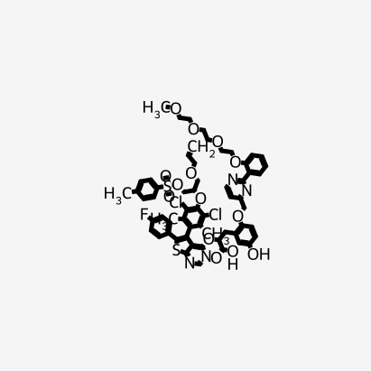 C=CCOCC(COS(=O)(=O)c1ccc(C)cc1)Oc1c(Cl)c(C)c(-c2c(-c3ccc(F)cc3)sc3ncnc(OC(Cc4cc(O)ccc4OCc4ccnc(-c5ccccc5OCCOCCOCCOC)n4)C(=O)O)c23)c(C)c1Cl